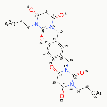 CC(=O)OCCN1C(=O)CC(=O)N(Cc2cccc(CN3C(=O)CC(=O)N(CCOC(C)=O)C3=O)c2)C1=O